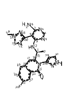 C[C@H](Nc1ncnc(N)c1-c1nnn(C)n1)c1cc2ccc(F)cc2c(=O)n1-c1cc[nH]n1